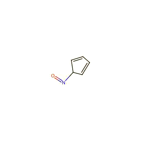 O=NC1C=CC=C1